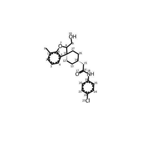 Cc1cccc2c1OC(CO)[C@]21CC[C@@H](CC(=O)Nc2ccc(Cl)cc2)CC1